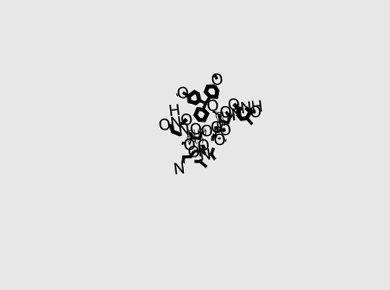 COc1ccc(C(OC[C@H]2O[C@@H](n3cc(C)c(=O)[nH]c3=O)C[C@@H]2OP(=O)(OC)C(C)O[C@H]2O[C@@H](n3ccc(=O)[nH]c3=O)[C@H](OC)[C@@H]2OP(OCCC#N)N(C(C)C)C(C)C)(c2ccccc2)c2ccc(OC)cc2)cc1